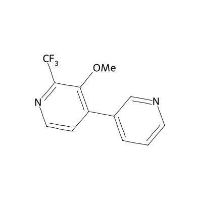 COc1c(-c2cccnc2)ccnc1C(F)(F)F